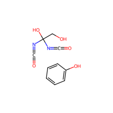 O=C=NC(O)(CO)N=C=O.Oc1ccccc1